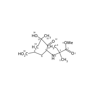 COC(=O)C(C)(C)NC(CCC(=O)O)C(=O)C(C)(C)O